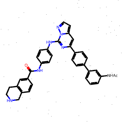 CC(=O)Nc1cccc(-c2ccc(-c3cc4ccnn4c(Nc4ccc(NC(=O)c5ccc6c(c5)CCNC6)cc4)n3)cc2)c1